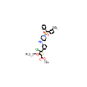 CC(C)(C)OC(=O)c1sc(-c2cccc(NC3CCN(S(=O)(=O)C(c4ccccc4)c4cccc([N+](=O)[O-])c4)CC3)c2)c(Cl)c1OCC(=O)O